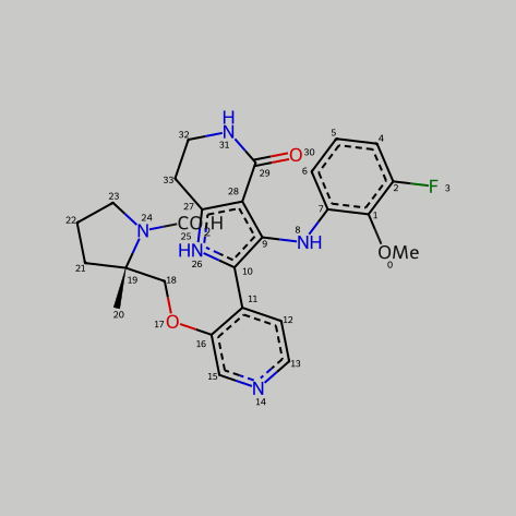 COc1c(F)cccc1Nc1c(-c2ccncc2OC[C@]2(C)CCCN2C(=O)O)[nH]c2c1C(=O)NCC2